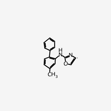 Cc1ccc(-c2ccccc2)c(Nc2n[c]co2)c1